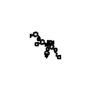 CN1CCC(Oc2cc(OCCCCl)cc3ncnc(Nc4ccc(OCc5cccc(F)c5)c(Cl)c4)c23)CC1